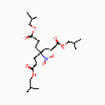 CC(C)COC(=O)CCC(CCC(=O)OCC(C)C)(CCC(=O)OCC(C)C)[N+](=O)[O-]